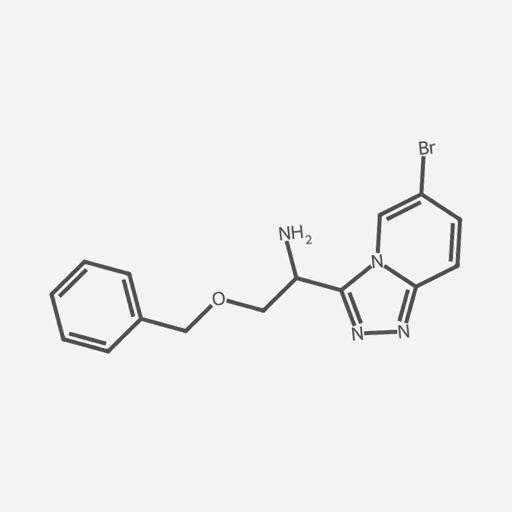 NC(COCc1ccccc1)c1nnc2ccc(Br)cn12